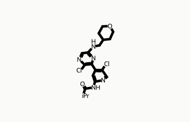 CC(C)C(=O)Nc1cc(-c2nc(NCC3CCOCC3)cnc2Cl)c(Cl)cn1